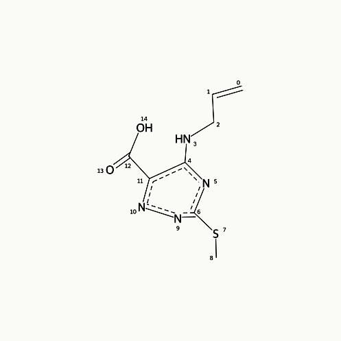 C=CCNc1nc(SC)nnc1C(=O)O